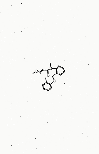 CON=CC(=O)N(C)c1ccccc1COc1ccccc1C